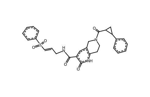 O=C(NC/C=C/S(=O)(=O)c1ccccc1)c1cc2c([nH]c1=O)CCN(C(=O)C1CC1c1ccccc1)C2